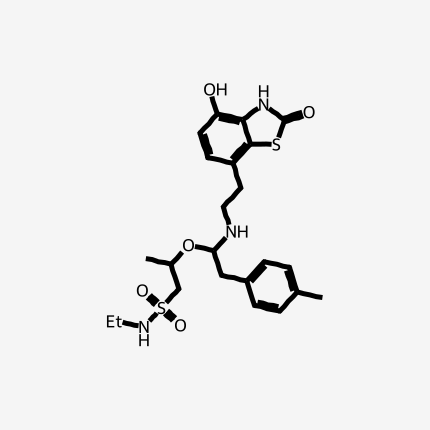 CCNS(=O)(=O)CC(C)OC(Cc1ccc(C)cc1)NCCc1ccc(O)c2[nH]c(=O)sc12